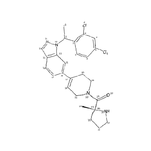 CC(c1ccc(Cl)cc1Cl)n1ncc2ccc(C3=CCN(C(=O)[C@@]4(C)CCCN4)CC3)cc21